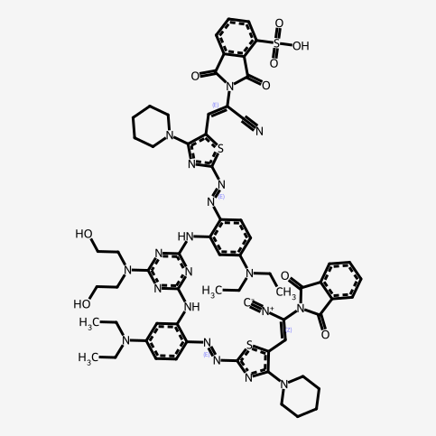 [C-]#[N+]/C(=C\c1sc(/N=N/c2ccc(N(CC)CC)cc2Nc2nc(Nc3cc(N(CC)CC)ccc3/N=N/c3nc(N4CCCCC4)c(/C=C(\C#N)N4C(=O)c5cccc(S(=O)(=O)O)c5C4=O)s3)nc(N(CCO)CCO)n2)nc1N1CCCCC1)N1C(=O)c2ccccc2C1=O